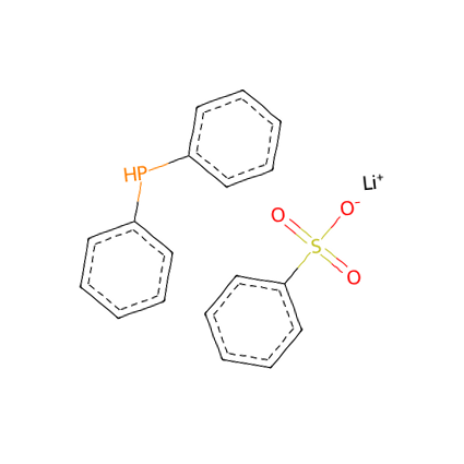 O=S(=O)([O-])c1ccccc1.[Li+].c1ccc(Pc2ccccc2)cc1